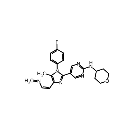 C=N/C=C\c1nc(-c2cnc(NC3CCOCC3)nc2)n(-c2ccc(F)cc2)c1C